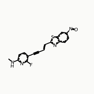 CNc1ccc(C#C/C=C/c2nc3ccc(N=O)cc3s2)c(F)n1